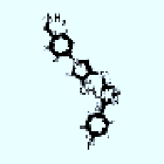 NCc1ccc(N2C=C(Sc3nnc(-c4ccc(F)cc4)o3)C(O)C2)cc1